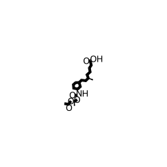 CC(=O)O[C@H](C)OC(=O)NC1CCCC(CC[C@H](C)CCCCC(=O)O)C1